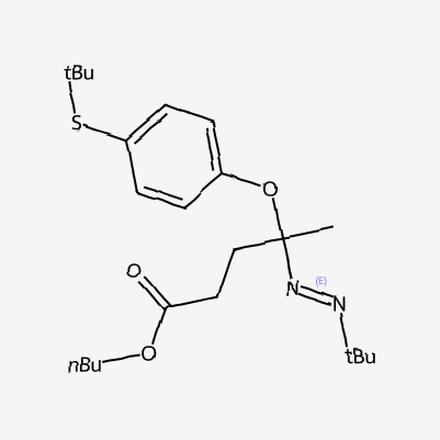 CCCCOC(=O)CCC(C)(/N=N/C(C)(C)C)Oc1ccc(SC(C)(C)C)cc1